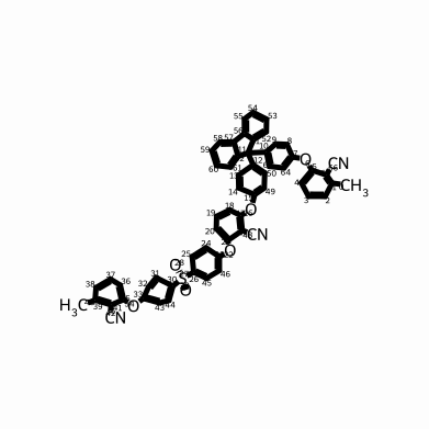 Cc1cccc(Oc2ccc(C3(c4ccc(Oc5cccc(Oc6ccc(S(=O)(=O)c7ccc(Oc8cccc(C)c8C#N)cc7)cc6)c5C#N)cc4)c4ccccc4-c4ccccc43)cc2)c1C#N